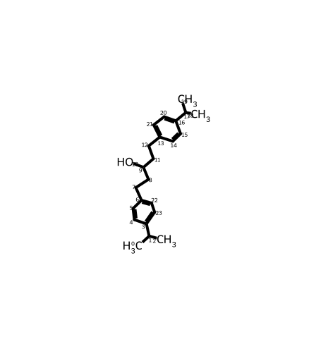 CC(C)c1ccc(CCC(O)CCc2ccc(C(C)C)cc2)cc1